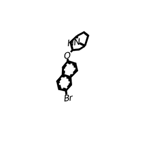 Brc1ccc2cc(OC3CC4CCC(C3)N4)ccc2c1